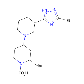 CCc1n[nH]c(C2CCCN(C3CCN(C(=O)O)C(C(C)(C)C)C3)C2)n1